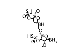 B[C@@H]1O[C@H](COCB[C@H]2CC(O[P@](C)(=O)S)[C@@H](COC)O2)C(O[P@](C)(=O)S)C1OC